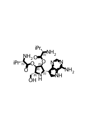 CC(C)[C@H](N)C(=O)O[C@@H]1[C@H](OC(=O)[C@@H](N)C(C)C)[C@@H](CO)N[C@H]1c1c[nH]c2c(N)ncnc12